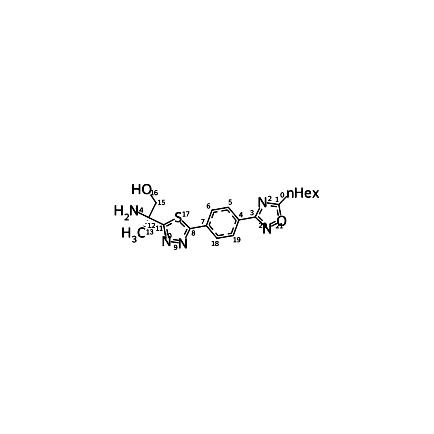 CCCCCCc1nc(-c2ccc(-c3nnc([C@@](C)(N)CO)s3)cc2)no1